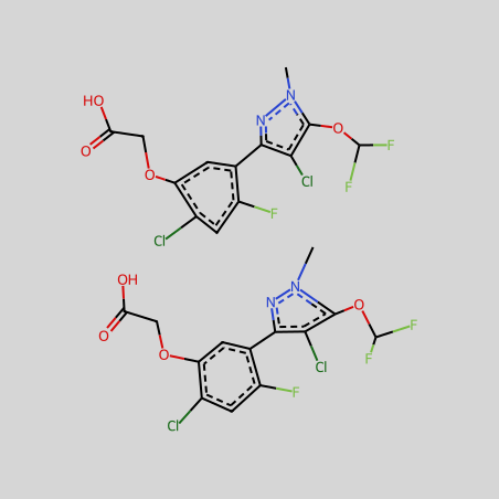 Cn1nc(-c2cc(OCC(=O)O)c(Cl)cc2F)c(Cl)c1OC(F)F.Cn1nc(-c2cc(OCC(=O)O)c(Cl)cc2F)c(Cl)c1OC(F)F